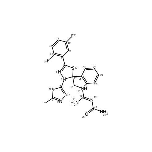 Cc1nnc(N2N=C(c3cc(F)ccc3F)SC2(CN/C(N)=N/C(N)=O)c2ccccc2)s1